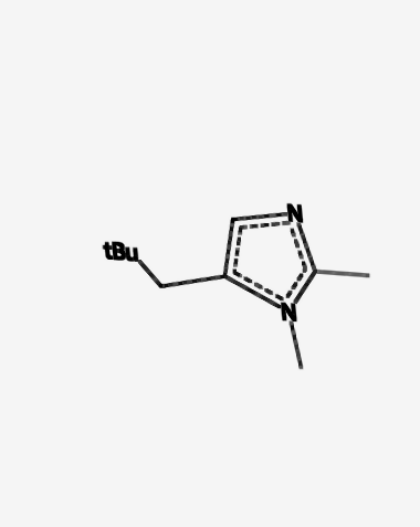 Cc1ncc(CC(C)(C)C)n1C